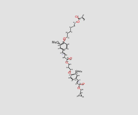 C=C(C)C(=O)OCCCCCCOc1ccc(/C=C/CC(=O)OCCCOc2ccc(/C=C/C(=O)OCC3CC3)cc2OC)cc1OC